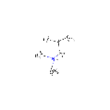 C[CH](C)[Sn][N](C)C